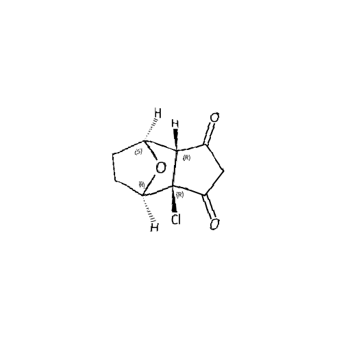 O=C1CC(=O)[C@]2(Cl)[C@H]3CC[C@H](O3)[C@H]12